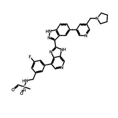 C[SH](=O)(C=O)NCc1cc(F)cc(-c2cncc3[nH]c(-c4n[nH]c5ccc(-c6cncc(CN7CCCC7)c6)cc45)nc23)c1